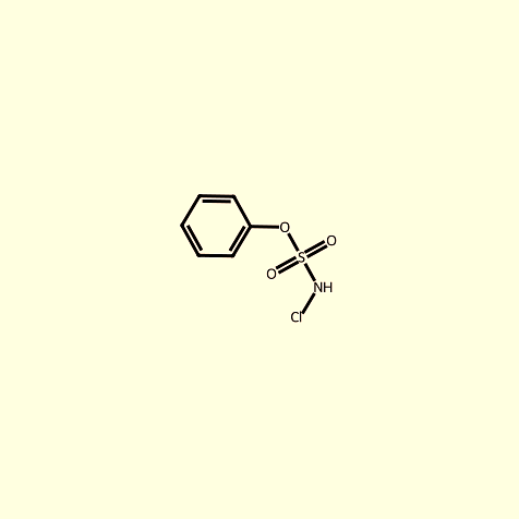 O=S(=O)(NCl)Oc1ccccc1